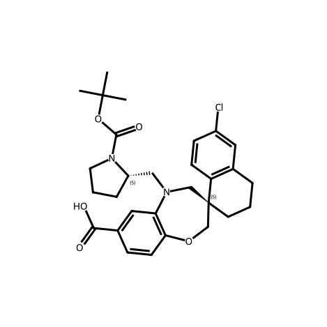 CC(C)(C)OC(=O)N1CCC[C@H]1CN1C[C@@]2(CCCc3cc(Cl)ccc32)COc2ccc(C(=O)O)cc21